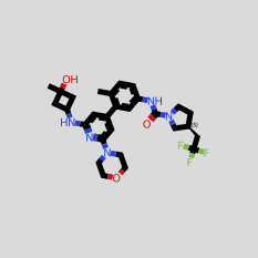 Cc1ccc(NC(=O)N2CC[C@@H](CC(F)(F)F)C2)cc1-c1cc(NC2CC(C)(O)C2)nc(N2CCOCC2)c1